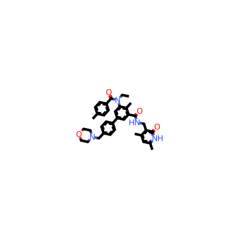 CCN(C(=O)c1ccc(C)cc1)c1cc(-c2ccc(CN3CCOCC3)cc2)cc(C(=O)NCc2c(C)cc(C)[nH]c2=O)c1C